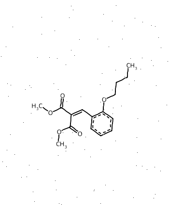 CCCCOc1ccccc1C=C(C(=O)OC)C(=O)OC